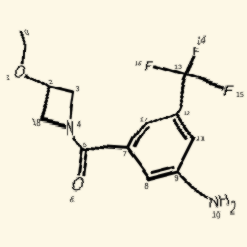 COC1CN(C(=O)c2cc(N)cc(C(F)(F)F)c2)C1